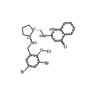 CCOc1c(Br)cc(Br)cc1CN[C@H]1CCC[C@@H]1CNc1cc(=O)c2ccccc2[nH]1